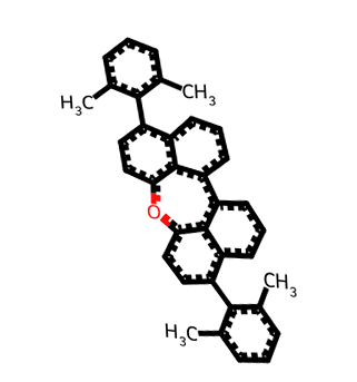 Cc1cccc(C)c1-c1ccc2oc3ccc(-c4c(C)cccc4C)c4cccc(c5cccc1c25)c34